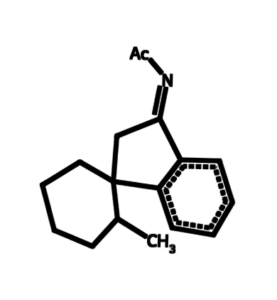 CC(=O)/N=C1\CC2(CCCCC2C)c2ccccc21